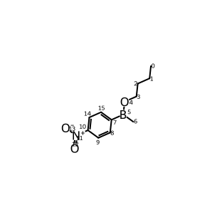 CCCCOB(C)c1ccc([N+](=O)[O-])cc1